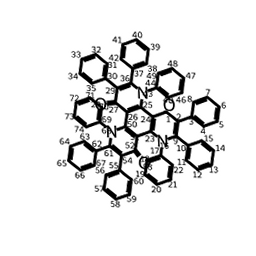 O=c1c(-c2ccccc2)c(-c2ccccc2)n(-c2ccccc2)c2c1c1c(c(=O)c(-c3ccccc3)c(-c3ccccc3)n1-c1ccccc1)c1c2c(=O)c(-c2ccccc2)c(-c2ccccc2)n1-c1ccccc1